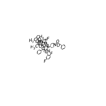 CC(=O)O[C@@H](C)C(=O)N(C[C@@H]1CN(C(=O)OC(C)(C)C)C[C@@H]1F)[C@@H](c1nc(-c2cc(F)ccc2F)cn1Cc1ccccc1)C1CCN(C(=O)OCc2ccccc2)CC1